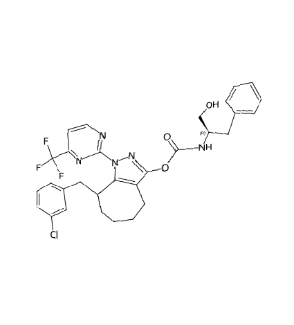 O=C(N[C@@H](CO)Cc1ccccc1)Oc1nn(-c2nccc(C(F)(F)F)n2)c2c1CCCCC2Cc1cccc(Cl)c1